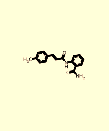 Cc1ccc(/C=C/C(=O)Nc2ccccc2C(N)=O)cc1